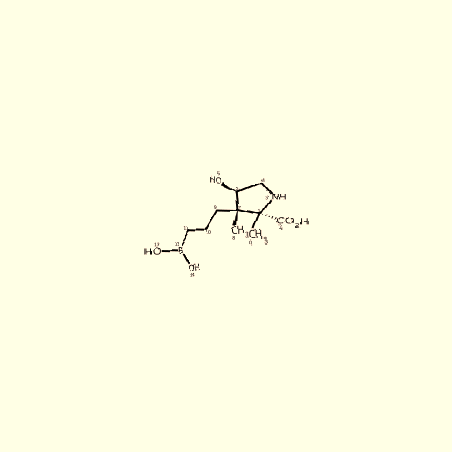 C[C@]1(C(=O)O)NC[C@H](O)[C@@]1(C)CCCB(O)O